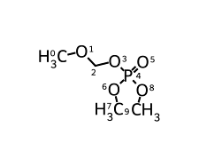 COCOP(=O)(OC)OC